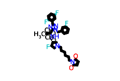 CC(C)(C)[C@@H](NC[C@@H]1CN(CCCCCCN2C(=O)C=CC2=O)C[C@@H]1F)c1nc(-c2cc(F)ccc2F)nn1Cc1cccc(F)c1